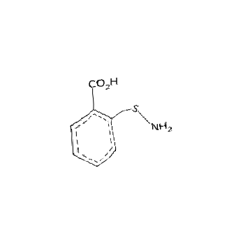 NSc1ccccc1C(=O)O